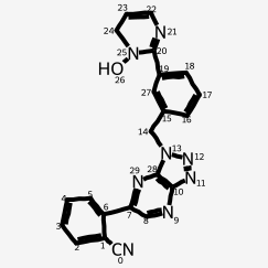 N#Cc1ccccc1-c1cnc2nnn(Cc3cccc(C4=NC=CCN4O)c3)c2n1